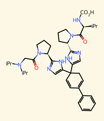 CC(C)[C@H](NC(=O)O)C(=O)N1CCC[C@H]1c1ncc(C2(c3cnc([C@@H]4CCCN4C(=O)CN(C(C)C)C(C)C)[nH]3)C=CC(c3ccccc3)=CC2)[nH]1